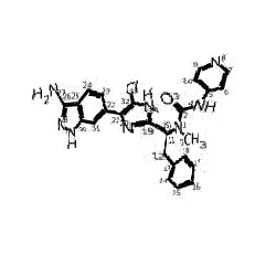 CN(C(=O)Nc1ccncc1)[C@@H](Cc1ccccc1)c1nc(-c2ccc3c(N)n[nH]c3c2)c(Cl)[nH]1